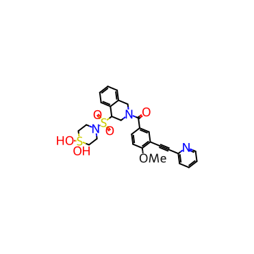 COc1ccc(C(=O)N2Cc3ccccc3C(S(=O)(=O)N3CCS(O)(O)CC3)C2)cc1C#Cc1ccccn1